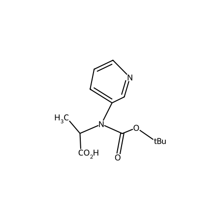 CC(C(=O)O)N(C(=O)OC(C)(C)C)c1cccnc1